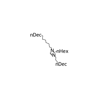 CCCCCCCCCCCCCCCCCN1C=CN(CCCCCCCCCCCCC)C1CCCCCC